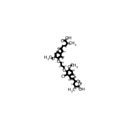 COc1cc2sc(CC[C@H](C)C(=O)O)cc2c(F)c1OCCCOc1c(OC)cc2sc(C(=O)C[C@H](C)C(=O)O)cc2c1Cl